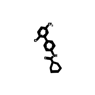 O=C(Nc1ccc(-c2cc(C(F)(F)F)ccc2Cl)cc1)C1CC=CCC1